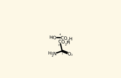 NC(=O)C(=O)O.O=C(O)O